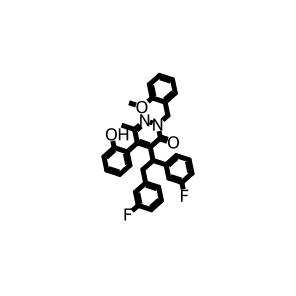 COc1ccccc1Cn1nc(C)c(-c2ccccc2O)c(C(Cc2cccc(F)c2)c2cccc(F)c2)c1=O